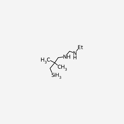 CCNCNCC(C)(C)C[SiH3]